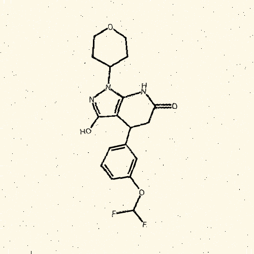 O=C1CC(c2cccc(OC(F)F)c2)c2c(O)nn(C3CCOCC3)c2N1